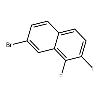 Fc1c(I)ccc2ccc(Br)cc12